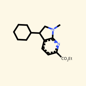 CCOC(=O)c1ccc2c(n1)N(C)CC2C1CCCCC1